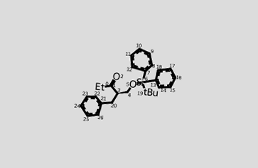 CCC(=O)[C@@H](CO[Si](c1ccccc1)(c1ccccc1)C(C)(C)C)Cc1ccccc1